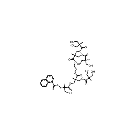 CC(CO)(CO)C(=O)OCC(C)(COC(=O)C(C)(CO)CO)C(=O)OCCOC(=O)C(C)(COC(=O)C(C)(CO)CO)COC(=O)C(C)(CO)COC(=O)c1cccc2ccccc12